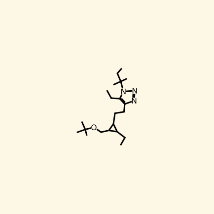 CCc1c(CCC2C(CC)C2COC(C)(C)C)nnn1C(C)(C)CC